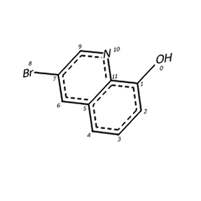 Oc1cccc2cc(Br)cnc12